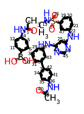 CC(=O)Nc1ccc(B(O)O)cc1.CNS(=O)(=O)c1cccc(Nc2cc(Nc3cccc(-c4ccc(NC(C)=O)cc4)c3)ncn2)c1